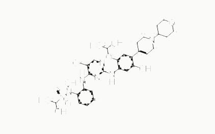 Cc1cc(Nc2ncc(Cl)c(Nc3ccccc3N(C)S(=O)(=O)C(C)C)n2)c(OC(C)C)cc1C1=CCN(C2CCOCC2)CC1